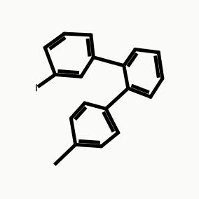 Cc1ccc(-c2ccccc2-c2cccc(I)c2)cc1